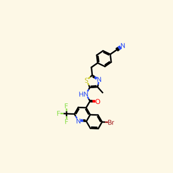 Cc1nc(Cc2ccc(C#N)cc2)sc1NC(=O)c1cc(C(F)(F)F)nc2ccc(Br)cc12